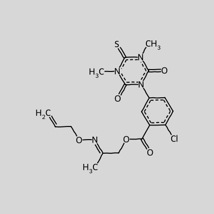 C=CCON=C(C)COC(=O)c1cc(-n2c(=O)n(C)c(=S)n(C)c2=O)ccc1Cl